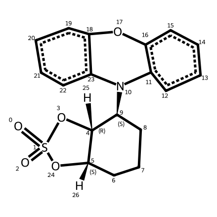 O=S1(=O)O[C@H]2[C@H](CCC[C@@H]2N2c3ccccc3Oc3ccccc32)O1